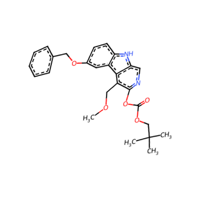 COCc1c(OC(=O)OCC(C)(C)C)ncc2[nH]c3ccc(OCc4ccccc4)cc3c12